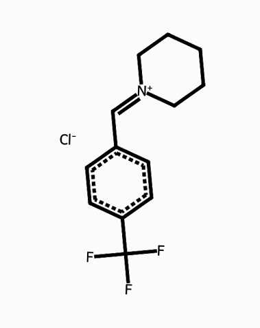 FC(F)(F)c1ccc(C=[N+]2CCCCC2)cc1.[Cl-]